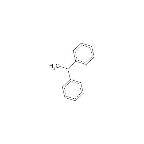 C[C](c1[c]cccc1)c1ccccc1